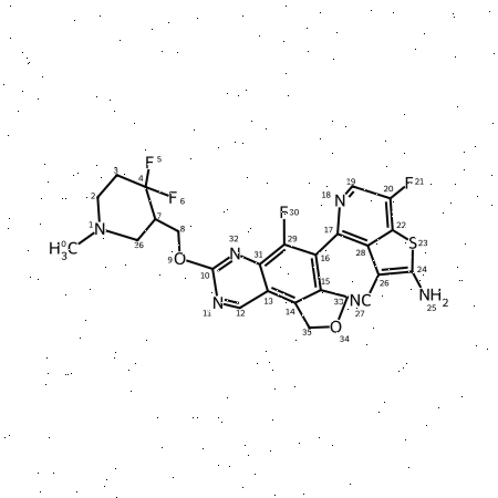 CN1CCC(F)(F)C(COc2ncc3c4c(c(-c5ncc(F)c6sc(N)c(C#N)c56)c(F)c3n2)COC4)C1